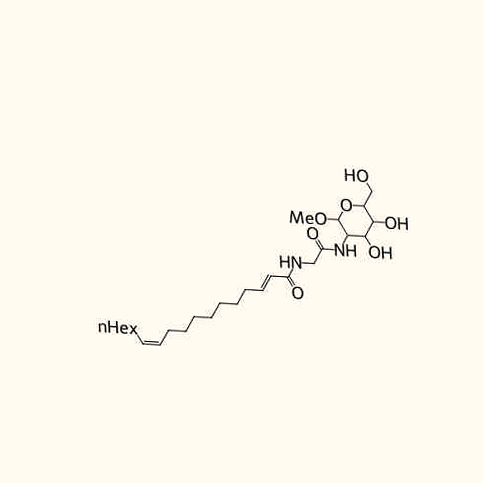 CCCCCC/C=C\CCCCCCC/C=C/C(=O)NCC(=O)NC1C(OC)OC(CO)C(O)C1O